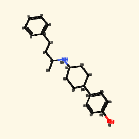 CC(CCc1ccccc1)NC1CCC(c2ccc(O)cc2)CC1